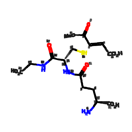 COC(=O)C=CC(=O)O.N[C@@H](CCC(=O)N[C@@H](CS)C(=O)NCC(=O)O)C(=O)O